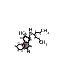 CCCC(CCC)Nc1cc2c(cc1O)[C@@]13CCCC[C@H]1[C@@H](C2)NCC3